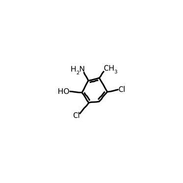 Cc1c(Cl)cc(Cl)c(O)c1N